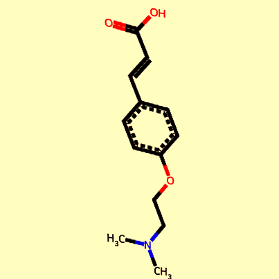 CN(C)CCOc1ccc(C=CC(=O)O)cc1